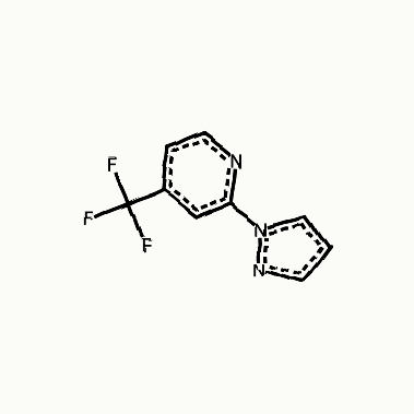 FC(F)(F)c1ccnc(-n2cccn2)c1